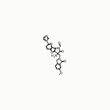 COc1ccc2c(c1)C(=O)N(C[C@@](N)(C(=O)NC=O)c1cc3nc(-n4ccnc4)ccc3o1)C2